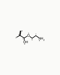 C=C(C)C(O)OCCN